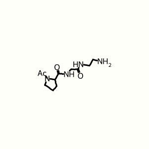 CC(=O)N1CCCC1C(=O)NCC(=O)NCCN